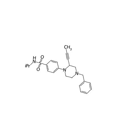 CC#CC1CN(Cc2ccccc2)CCN1c1ccc(S(=O)(=O)NC(C)C)cc1